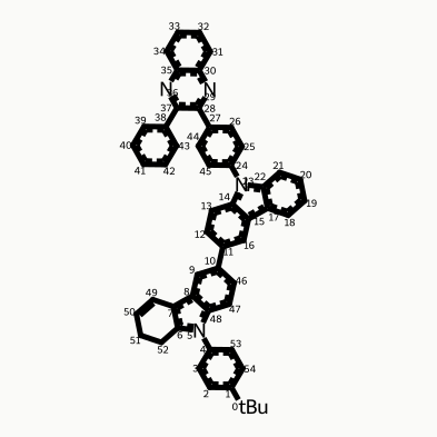 CC(C)(C)c1ccc(-n2c3c(c4cc(-c5ccc6c(c5)c5ccccc5n6-c5ccc(-c6nc7ccccc7nc6-c6ccccc6)cc5)ccc42)C=CCC3)cc1